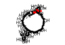 C/C1=C\C(C)C(O)/C(C)=C/C(O[C@H]2O[C@H](CO)[C@@H](O)[C@H](O[C@@H]3O[C@H](CO)[C@@H](O)[C@H](O)[C@@H]3O)[C@@H]2O)C(O)C(C)C(O)CC(O)CC(O)C(C)C(O)CC(O)CC(O)C(C)C(O)CC(O)CC(O[C@@H]2O[C@H](C)[C@@H](O)[C@H](N)[C@H]2O)C(C)C(C(C)CC(C)CCCCCCN)OC(=O)CCC(C)C(O)CC/C=C/C(C)C1O